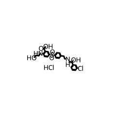 Cl.O=C(O)c1cc(S(=O)(=O)c2ccc(CCNC[C@@H](O)c3cccc(Cl)c3)cc2)ccc1NCCO